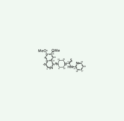 COc1cc2ncnc(N3CCN(C(=S)Nc4ccccn4)CC3)c2cc1OC